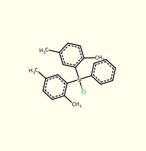 Cc1ccc(C)c([Si](Cl)(c2ccccc2)c2cc(C)ccc2C)c1